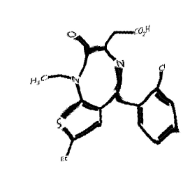 CCc1cc2c(s1)N(C)C(=O)C(CC(=O)O)N=C2c1ccccc1Cl